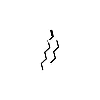 C=COCCCCC.CCCCC